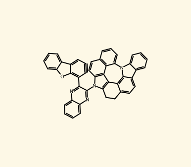 c1cc2c(oc3ccccc32)c(-c2nc3ccccc3nc2-n2c3c4c5c(ccc6c7ccccc7n(c7cccc8ccc2c4c87)c65)CC3)c#1